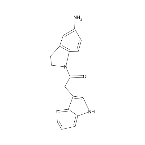 Nc1ccc2c(c1)CCN2C(=O)Cc1c[nH]c2ccccc12